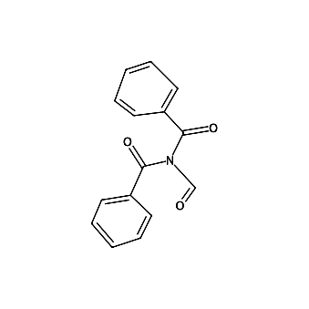 O=CN(C(=O)c1ccccc1)C(=O)c1ccccc1